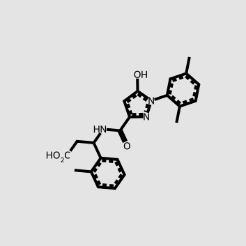 Cc1ccc(C)c(-n2nc(C(=O)NC(CC(=O)O)c3ccccc3C)cc2O)c1